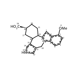 COc1cccc2c1cc1n2Cc2c[nH]cc2C2C[C@@H](C(=O)O)CCC12